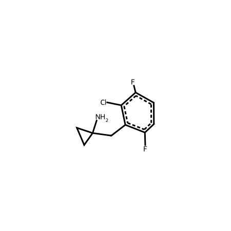 NC1(Cc2c(F)ccc(F)c2Cl)CC1